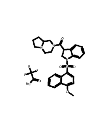 COc1ccc(S(=O)(=O)N2CC(C(=O)N3CCN4CCCC4C3)c3ccccc32)c2ccccc12.O=C(O)C(F)(F)F